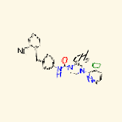 C[C@@H]1CN(c2ncccc2Cl)CCN1C(=O)Nc1ccc(Cc2ccccc2C#N)cc1